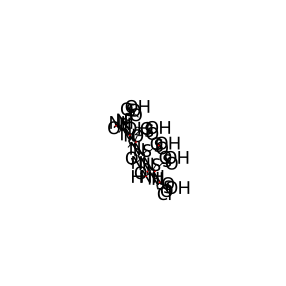 COc1cc2c(cc1S(=O)(=O)O)nc1c(C(N)=O)c(C)c(N=Nc3cc(C)c(N=Nc4cc(NC(C)=O)c(N=Nc5cc(NC(C)=O)c(N=Nc6ccc(Cl)c(S(=O)(=O)O)c6)cc5SCCCS(=O)(=O)O)cc4SCCCS(=O)(=O)O)cc3OCCCS(=O)(=O)O)c(O)n12